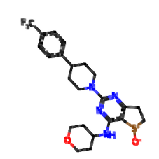 [O-][S+]1CCc2nc(N3CCC(c4ccc(C(F)(F)F)cc4)CC3)nc(NC3CCOCC3)c21